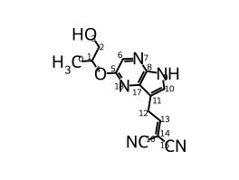 CC(CO)Oc1cnc2[nH]cc(CC=C(C#N)C#N)c2n1